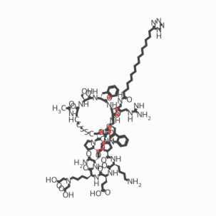 CC(=O)N[C@H]1CCSSC[C@@H](C(=O)N2CCC[C@H]2C(=O)N2CCC[C@H]2C(=O)N[C@@H](CCCCN)C(=O)N[C@@H](CCC(=O)O)C(=O)N[C@@H](CCCCN(CC(=O)O)CC(=O)O)C(=O)N[C@@H](CCCCNC(=O)COCCOCCNC(=O)CCCCCCCCCCCCCCCc2nnn[nH]2)C(N)=O)NC(=O)[C@H](Cc2c[nH]c3ccccc23)NC(=O)[C@H](CCCNC(=N)N)NC(=O)[C@@H](Cc2ccccc2)NC(=O)[C@H](CO)NC1=O